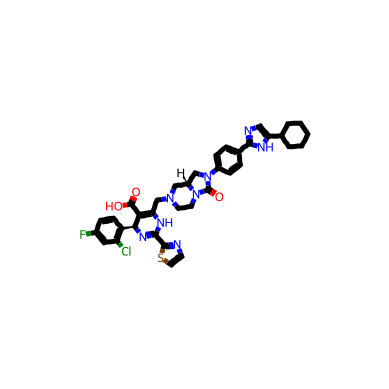 O=C(O)C1=C(CN2CCN3C(=O)N(c4ccc(-c5ncc(C6CCCCC6)[nH]5)cc4)C[C@@H]3C2)NC(c2nccs2)=N[C@H]1c1ccc(F)cc1Cl